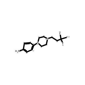 Nc1ccc(N2CCN(CCC(F)(F)F)CC2)cc1